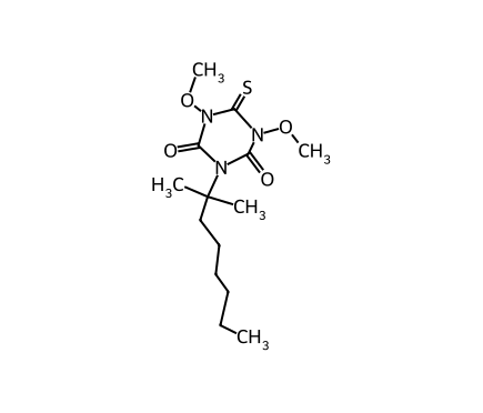 CCCCCCC(C)(C)n1c(=O)n(OC)c(=S)n(OC)c1=O